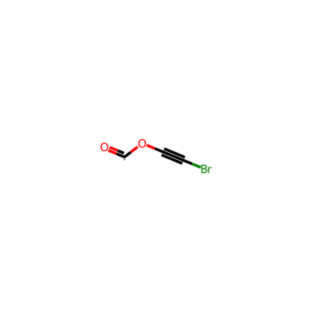 O=[C]OC#CBr